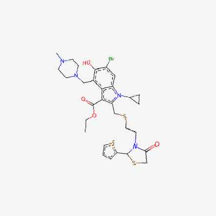 CCOC(=O)c1c(CSCCN2C(=O)CSC2c2cccs2)n(C2CC2)c2cc(Br)c(O)c(CN3CCN(C)CC3)c12